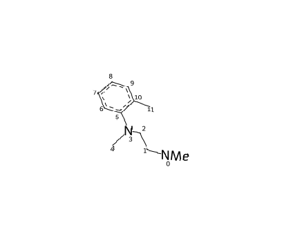 CNCCN(C)c1ccccc1C